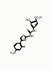 O=C(O)c1ccc(NC(=S)Nc2nc(-c3ccc([N+](=O)[O-])cc3F)cs2)cc1O